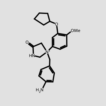 COc1ccc([N+]2(Cc3ccc(N)cc3)CNC(=O)C2)cc1OC1CCCC1